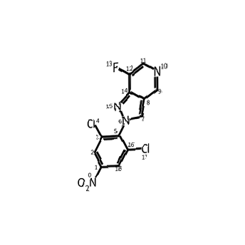 O=[N+]([O-])c1cc(Cl)c(-n2cc3cncc(F)c3n2)c(Cl)c1